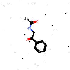 CC(C)(C)C(=O)NCC(=O)c1ccccc1